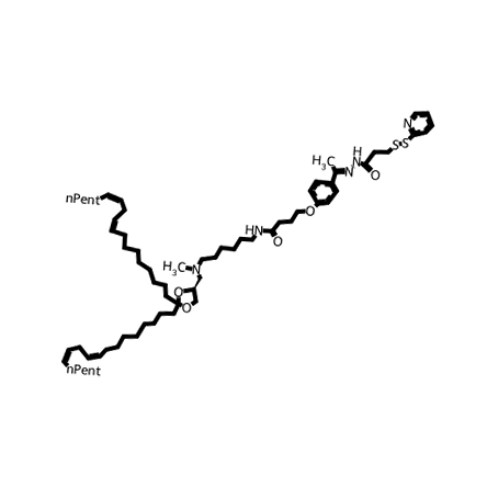 CCCCC/C=C\C/C=C\CCCCCCCCC1(CCCCCCCC/C=C\C/C=C\CCCCC)OC[C@H](CN(C)CCCCCCNC(=O)CCCOc2ccc(/C(C)=N/NC(=O)CCSSc3ccccn3)cc2)O1